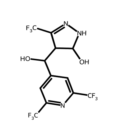 OC1NN=C(C(F)(F)F)C1C(O)c1cc(C(F)(F)F)nc(C(F)(F)F)c1